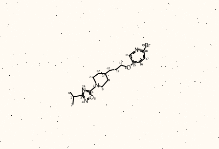 CC(C)c1noc(N2CCC(CCCOc3ccc(Br)nc3)CC2)n1